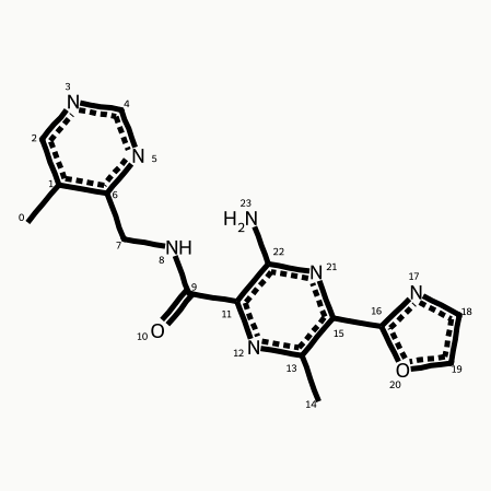 Cc1cncnc1CNC(=O)c1nc(C)c(-c2ncco2)nc1N